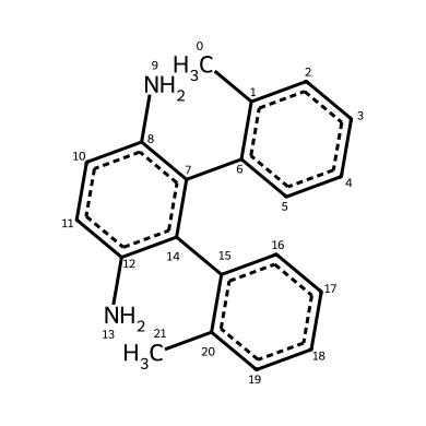 Cc1ccccc1-c1c(N)ccc(N)c1-c1ccccc1C